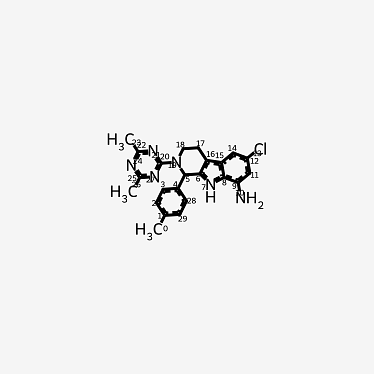 Cc1ccc(C2c3[nH]c4c(N)cc(Cl)cc4c3CCN2c2nc(C)nc(C)n2)cc1